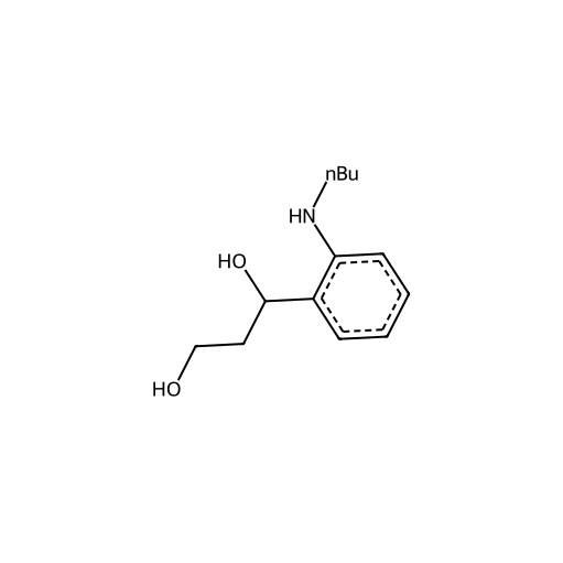 CCCCNc1ccccc1C(O)CCO